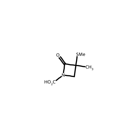 CSC1(C)CN(C(=O)O)C1=O